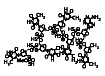 COP(=O)(S)OC1C[C@H](n2cc(C)c(=O)[nH]c2=O)O[C@@H]1COP(=O)(S)OC1C[C@H](n2cc(C)c(=O)[nH]c2=O)O[C@@H]1COP(=O)(S)OC1C[C@H](n2cc(C)c(=O)[nH]c2=O)O[C@@H]1COP(=O)(S)OC1C[C@H](n2cc(C)c(=O)[nH]c2=O)O[C@@H]1COP(=O)(S)OC1C[C@H](n2cc(C)c(=O)[nH]c2=O)O[C@@H]1COP(=O)(S)OC1C[C@H](n2cnc3c(N)ncnc32)O[C@@H]1COP(=O)(S)OC1C[C@H](n2cc(C)c(=O)[nH]c2=O)O[C@@H]1C